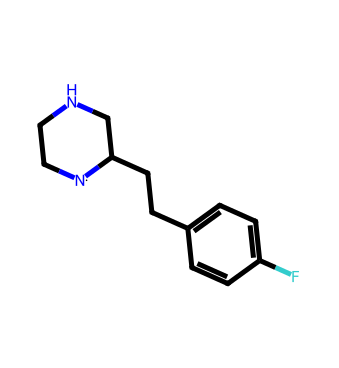 Fc1ccc(CCC2CNCC[N]2)cc1